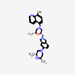 C[C@@H]1CN(c2ccc3c(c2)CN(C[C@H]2CN(c4ccc(C#N)c5ncccc45)C[C@@H](C)O2)C3)C[C@@H](C)N1